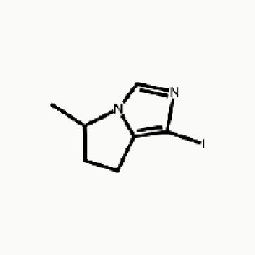 CC1CCc2c(I)ncn21